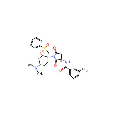 CC(C)N(C)C1CCC(CS(=O)(=O)c2ccccc2)(N2C(=O)C[C@H](NC(=O)c3cccc(C(F)(F)F)c3)C2=O)CC1